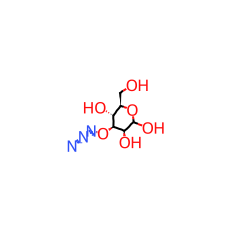 [N-]=[N+]=NO[C@H]1[C@H](O)[C@@H](CO)OC(O)[C@H]1O